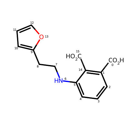 O=C(O)c1cccc(NCCc2ccco2)c1C(=O)O